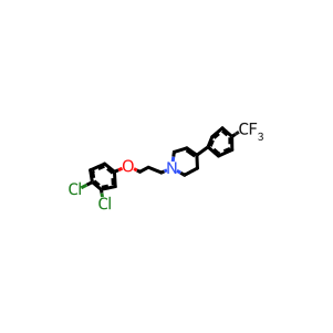 FC(F)(F)c1ccc(C2=CCN(CCCOc3ccc(Cl)c(Cl)c3)CC2)cc1